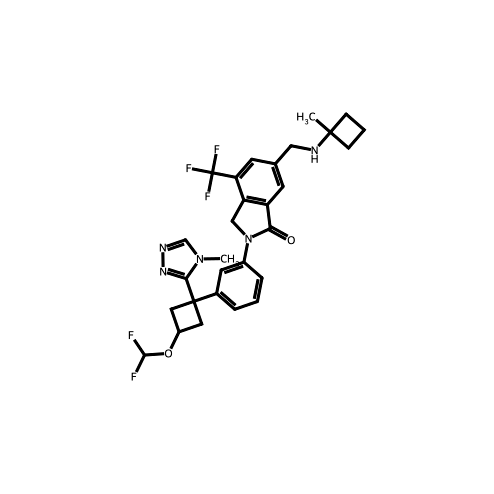 Cn1cnnc1C1(c2cccc(N3Cc4c(cc(CNC5(C)CCC5)cc4C(F)(F)F)C3=O)c2)CC(OC(F)F)C1